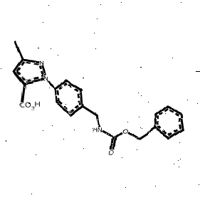 Cc1cc(C(=O)O)n(-c2ccc(CNC(=O)OCc3ccccc3)cc2)n1